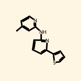 Cc1ccnc(Nc2cccc(-c3cccs3)n2)c1